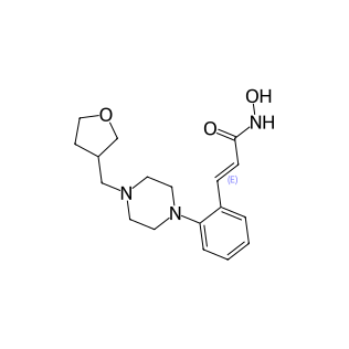 O=C(/C=C/c1ccccc1N1CCN(CC2CCOC2)CC1)NO